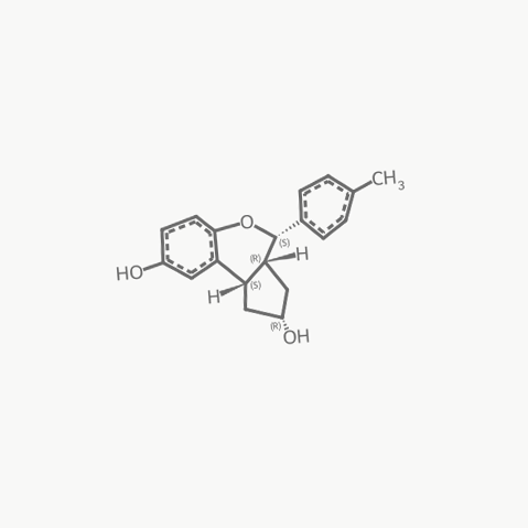 Cc1ccc([C@H]2Oc3ccc(O)cc3[C@H]3C[C@@H](O)C[C@H]32)cc1